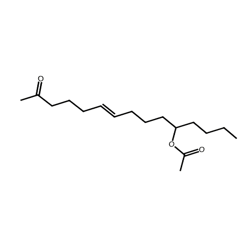 CCCCC(CCC/C=C/CCCC(C)=O)OC(C)=O